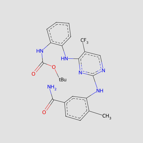 Cc1ccc(C(N)=O)cc1Nc1ncc(C(F)(F)F)c(Nc2ccccc2NC(=O)OC(C)(C)C)n1